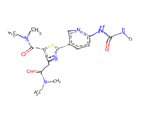 CCNC(=O)Nc1ccc(-c2nc(C(=O)N(C)C)c(C(=O)N(C)C)s2)cn1